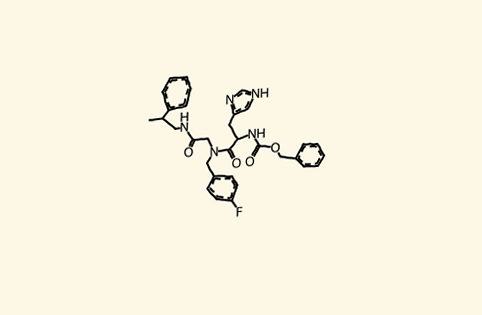 CC(CNC(=O)CN(Cc1ccc(F)cc1)C(=O)C(Cc1c[nH]cn1)NC(=O)OCc1ccccc1)c1ccccc1